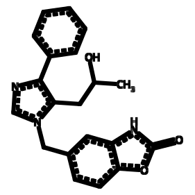 CC(O)Cc1c(-c2ccccc2)ncn1Cc1ccc2oc(=O)[nH]c2c1